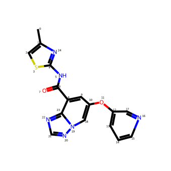 Cc1csc(NC(=O)c2cc(Oc3cccnc3)cn3ncnc23)n1